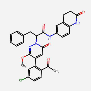 COc1nn(C(Cc2ccccc2)C(=O)Nc2ccc3c(c2)CCC(=O)N3)c(=O)cc1-c1cc(Cl)ccc1C(C)=O